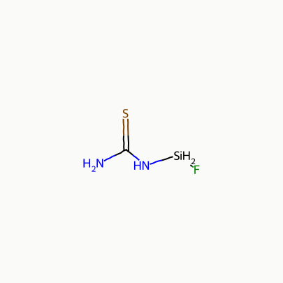 NC(=S)N[SiH2]F